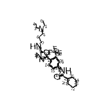 CCN(CC)CCCNc1nnc(-c2ccc(NC(=O)C3CCCCC3)cc2C(F)(F)F)o1